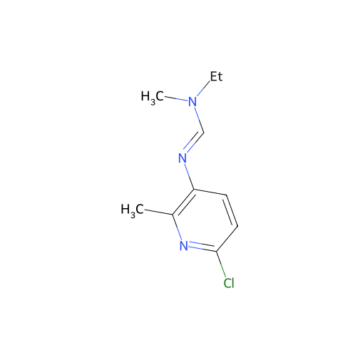 CCN(C)/C=N/c1ccc(Cl)nc1C